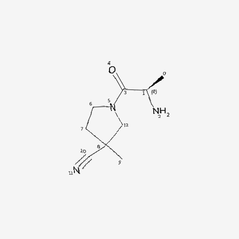 C[C@@H](N)C(=O)N1CCC(C)(C#N)C1